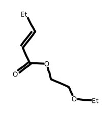 CCC=CC(=O)OCCOCC